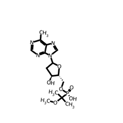 COC(C)(C)P(=O)(O)OC[C@H]1OC(n2cnc3c(C)ncnc32)C[C@@H]1O